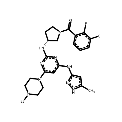 CCN1CCN(c2cc(Nc3cc(C)[nH]n3)nc(N[C@@H]3CCN(C(=O)c4cccc(Cl)c4F)C3)n2)CC1